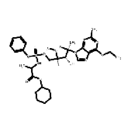 CCOc1nc(N)nc2c1ncn2[C@](C)(F)[C@H](O)[C@@](F)(COP(=O)(NC(C)C(=O)OC1CCCCC1)Oc1ccccc1)OC